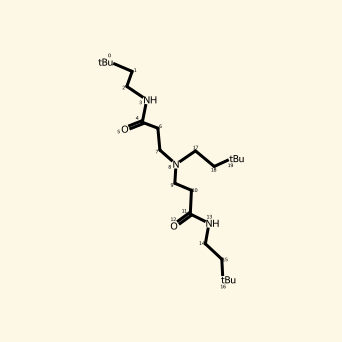 CC(C)(C)CCNC(=O)CCN(CCC(=O)NCCC(C)(C)C)CCC(C)(C)C